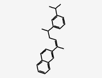 C/C(=C/CC(C)c1cccc(C(C)C)c1)c1ccc2ccccc2c1